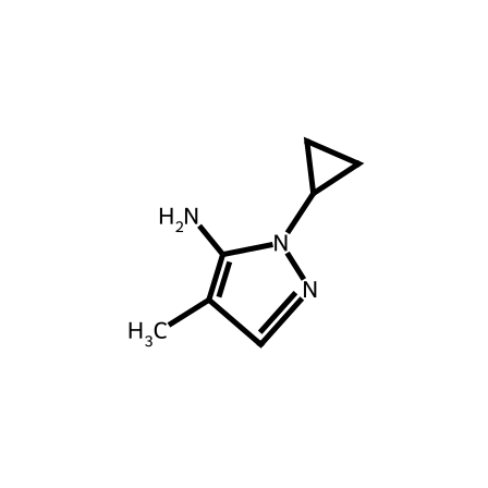 Cc1cnn(C2CC2)c1N